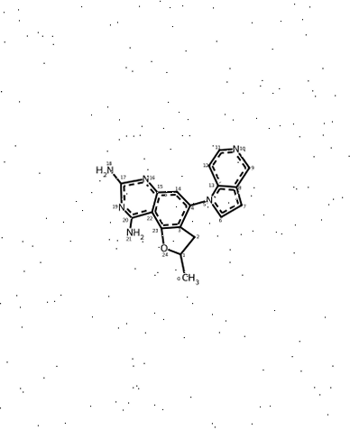 CC1Cc2c(-n3ccc4cnccc43)cc3nc(N)nc(N)c3c2O1